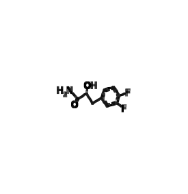 NC(=O)C(O)Cc1ccc(F)c(F)c1